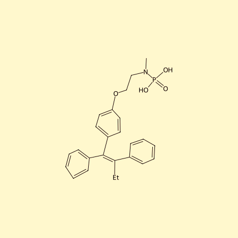 CC/C(=C(\c1ccccc1)c1ccc(OCCN(C)P(=O)(O)O)cc1)c1ccccc1